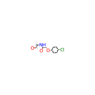 C[C@@H]([C]=O)NC(=O)COc1ccc(Cl)cc1